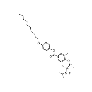 CCCCCCCCCCOc1ccc(OC(=O)c2ccc(O[C@H](C)[C@@H](F)[C@H](F)C(C)C)c(F)c2)cc1